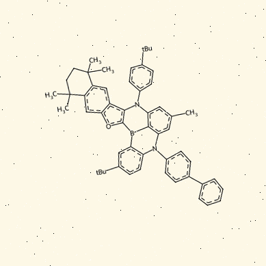 Cc1cc2c3c(c1)N(c1ccc(C(C)(C)C)cc1)c1c(oc4cc5c(cc14)C(C)(C)CCC5(C)C)B3c1cc(C(C)(C)C)ccc1N2c1ccc(-c2ccccc2)cc1